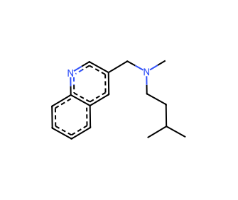 CC(C)CCN(C)Cc1cnc2ccccc2c1